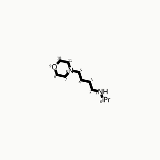 CC(C)NCCCCN1CCOCC1